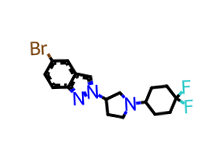 FC1(F)CCC(N2CCC(n3cc4cc(Br)ccc4n3)C2)CC1